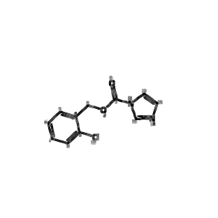 O=C(OCc1ccccc1Cl)n1ccnc1